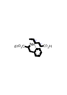 C/C=C/C=C/C(=O)O.CCOC(=O)C(N)Cc1ccccc1